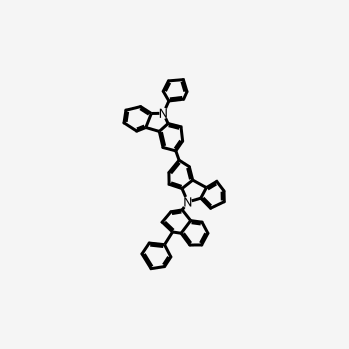 c1ccc(-c2ccc(-n3c4ccccc4c4cc(-c5ccc6c(c5)c5ccccc5n6-c5ccccc5)ccc43)c3ccccc23)cc1